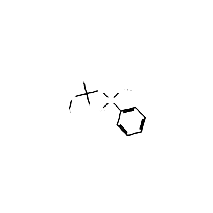 CCCOC(CC)(CC)O[Si](OC)(OC)c1ccccc1